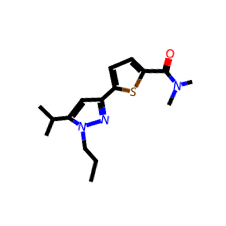 CCCn1nc(-c2ccc(C(=O)N(C)C)s2)cc1C(C)C